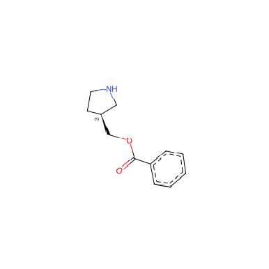 O=C(OC[C@H]1CCNC1)c1ccccc1